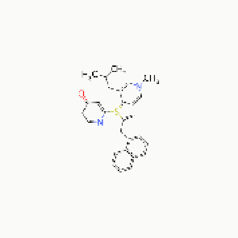 CC(C)CC1=CN(C)C=C2C=C(Cc3cccc4ccccc34)S(C3=CC(=O)CC=N3)=C21